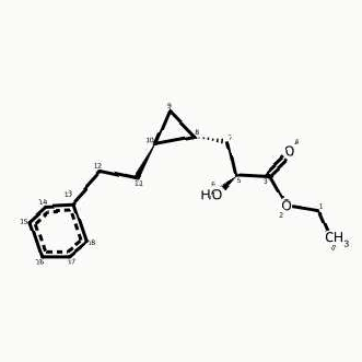 CCOC(=O)[C@@H](O)C[C@H]1C[C@@H]1CCc1ccccc1